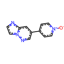 [O-][n+]1ccc(-c2cnn3ccnc3c2)cc1